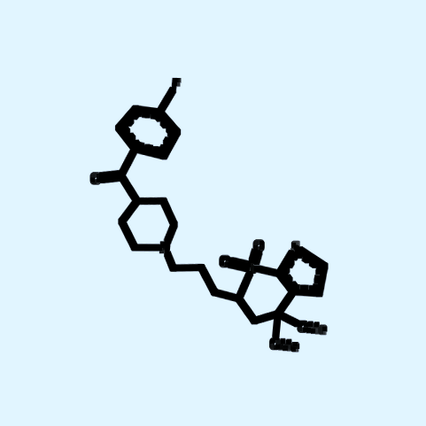 COC1(OC)CC(CCCN2CCC(C(=O)c3ccc(F)cc3)CC2)S(=O)(=O)c2sccc21